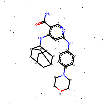 NC(=O)c1cnc(Nc2ccc(N3CCOCC3)cc2)cc1NC1C2CC3CC(C2)CC1C3